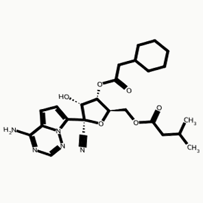 CC(C)CC(=O)OC[C@H]1O[C@@](C#N)(c2ccc3c(N)ncnn23)[C@H](O)[C@@H]1OC(=O)CC1CCCCC1